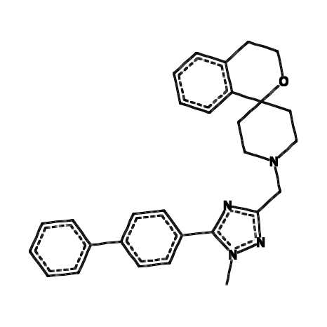 Cn1nc(CN2CCC3(CC2)OCCc2ccccc23)nc1-c1ccc(-c2ccccc2)cc1